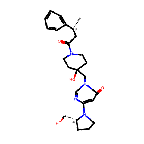 C[C@H](CC(=O)N1CCC(O)(Cn2cnc(N3CCC[C@@H]3CO)cc2=O)CC1)c1ccccc1